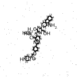 Cc1nc(N2CCC3(CC2)Cc2ccccc2[C@H]3N)c(CO)nc1Sc1ccn2cc(-c3ccc(OCC(=O)N4CCNCC4)cc3)nc2c1Cl.Cl.Cl